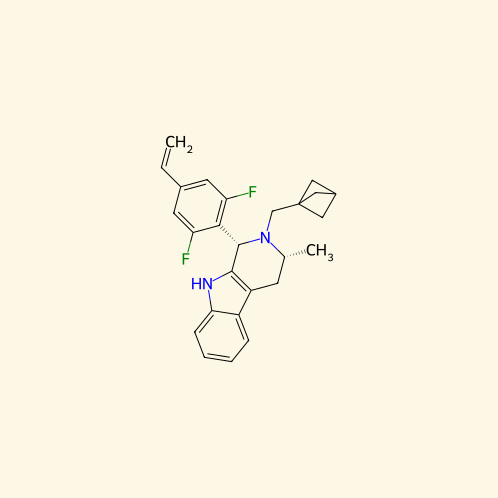 C=Cc1cc(F)c([C@H]2c3[nH]c4ccccc4c3C[C@@H](C)N2CC23CC(C2)C3)c(F)c1